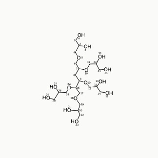 OCC(O)COCC(CC(OCC(O)CO)C(COCC(O)CO)OCC(O)CO)OCC(O)CO